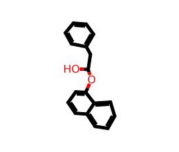 OC(Cc1ccccc1)Oc1cccc2ccccc12